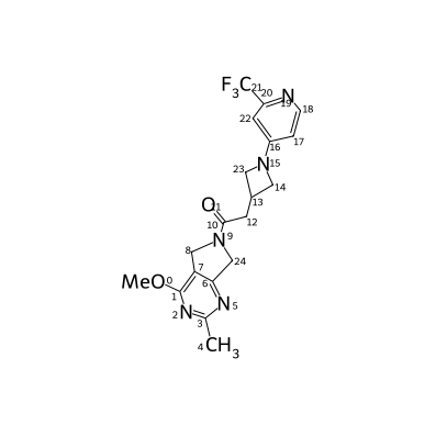 COc1nc(C)nc2c1CN(C(=O)CC1CN(c3ccnc(C(F)(F)F)c3)C1)C2